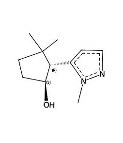 Cn1nccc1[C@@H]1[C@@H](O)CCC1(C)C